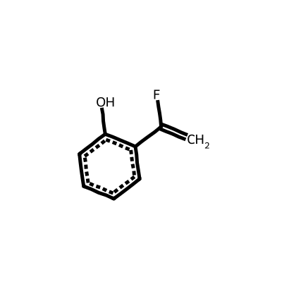 C=C(F)c1ccccc1O